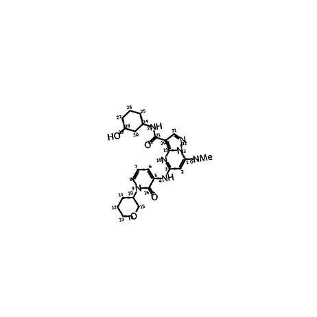 CNc1cc(Nc2cccn(C3CCCOC3)c2=O)nc2c(C(=O)NC3CCCC(O)C3)cnn12